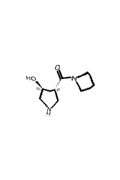 O=C([C@@H]1CNC[C@H]1O)N1CCC1